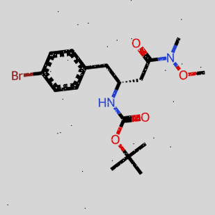 CON(C)C(=O)C[C@@H](Cc1ccc(Br)cc1)NC(=O)OC(C)(C)C